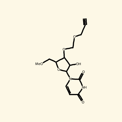 C#CCOCOC1C(COC)OC(n2ccc(=O)[nH]c2=O)C1O